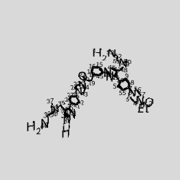 CCC(=O)N1CCN(c2ccc(-c3nn(-c4cccc(CC(=O)N5CCN(c6ccc(-c7n[nH]cc7CN(C)CCN)cc6)CC5)c4)cc3CN(C)CCN)cc2)CC1